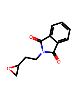 O=C1c2ccccc2C(=O)N1CCC1CO1